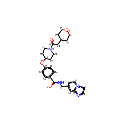 O=C(NCc1ccn2ccnc2c1)c1ccc(OC2CCN(C(=O)CC3CCOCC3)CC2)cc1